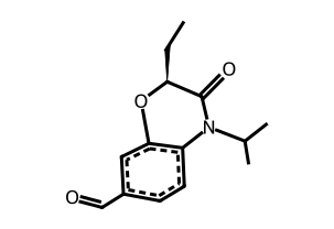 CC[C@@H]1Oc2cc(C=O)ccc2N(C(C)C)C1=O